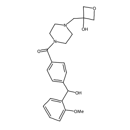 COc1ccccc1C(O)c1ccc(C(=O)N2CCN(CC3(O)COC3)CC2)cc1